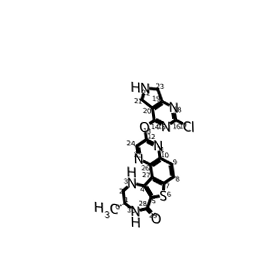 C[C@@H]1CNc2c(sc3ccc4nc(Oc5nc(Cl)nc6c5CNC6)cnc4c23)C(=O)N1